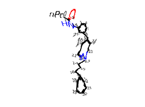 CCCC(=O)Nc1cccc(C2CCN(CCCCc3ccccc3)CC2)c1